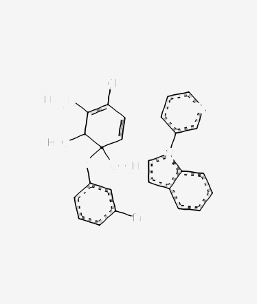 CC1C(C(=O)O)=C(Cl)C=CC1(Sc1cccc(Br)c1)C(=O)O.c1cncc(-n2ccc3ccccc32)c1